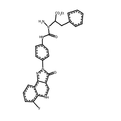 CCOC(=O)C(Cc1ccccc1)N(N)C(=O)Nc1ccc(-n2nc3c4cccc(F)c4[nH]cc-3c2=O)cc1